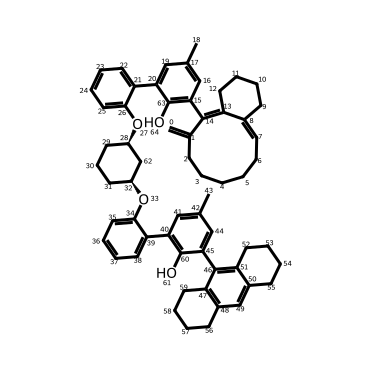 C=C1CCCCC/C=C2/CCCC/C2=C/1c1cc(C)cc(-c2ccccc2O[C@@H]2CCC[C@H](Oc3ccccc3-c3cc(C)cc(-c4c5c(cc6c4CCCC6)CCCC5)c3O)C2)c1O